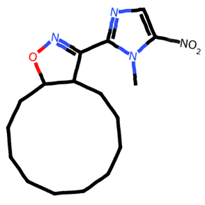 Cn1c([N+](=O)[O-])cnc1C1=NOC2CCCCCCCCCCC12